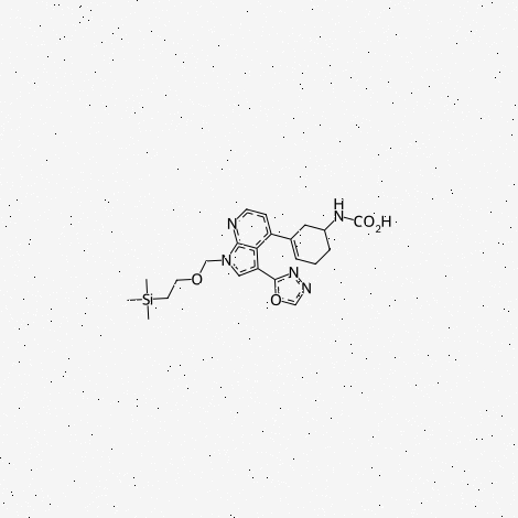 C[Si](C)(C)CCOCn1cc(-c2nnco2)c2c(C3=CCCC(NC(=O)O)C3)ccnc21